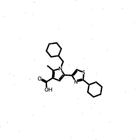 Cc1c(C(=O)O)cc(-c2csc(C3CCCCC3)n2)n1CC1CCCCC1